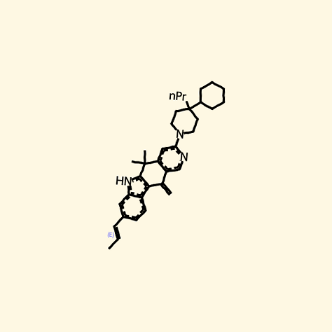 C=C1c2cnc(N3CCC(CCC)(C4CCCCC4)CC3)cc2C(C)(C)c2[nH]c3cc(/C=C/C)ccc3c21